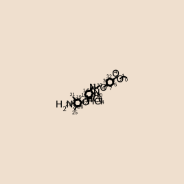 CCOC(=O)c1ccc(OCc2nc3ccc(Oc4cc(C)c(N)c(C)c4)cc3n2C)cc1.Cl.Cl